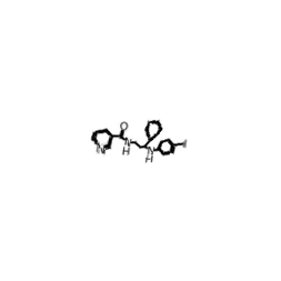 O=C(NCCC(Nc1ccc(I)cc1)c1ccccc1)c1cccnc1